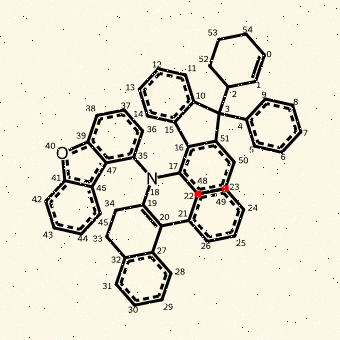 C1=CC(C2(c3ccccc3)c3ccccc3-c3c(N(C4=C(c5ccccc5)c5ccccc5CC4)c4cccc5oc6ccccc6c45)cccc32)CCC1